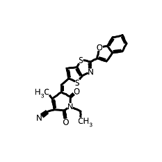 CCN1C(=O)C(C#N)=C(C)/C(=C/c2cc3sc(-c4cc5ccccc5o4)nc3s2)C1=O